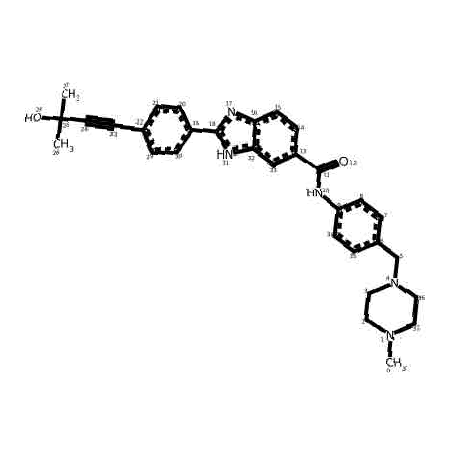 CN1CCN(Cc2ccc(NC(=O)c3ccc4nc(-c5ccc(C#CC(C)(C)O)cc5)[nH]c4c3)cc2)CC1